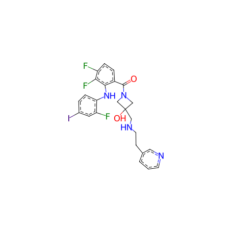 O=C(c1ccc(F)c(F)c1Nc1ccc(I)cc1F)N1CC(O)(CNCCc2cccnc2)C1